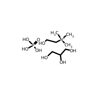 C[N+](C)(C)CCO.O=P(O)(O)O.OCC(O)CO